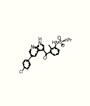 CCCS(=O)(=O)Nc1cccc(C(=O)c2c[nH]c3ncc(-c4ccc(Cl)cc4)cc23)c1C